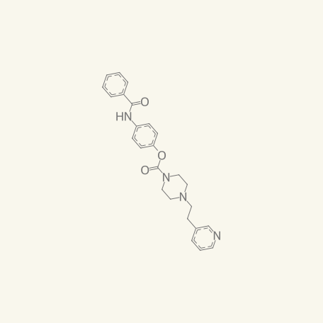 O=C(Nc1ccc(OC(=O)N2CCN(CCc3cccnc3)CC2)cc1)c1ccccc1